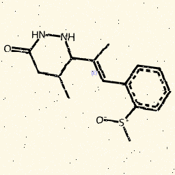 C/C(=C\c1ccccc1[S+](C)[O-])C1NNC(=O)CC1C